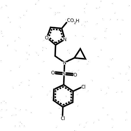 O=C(O)c1coc(CN(C2CC2)S(=O)(=O)c2ccc(Cl)cc2Cl)n1